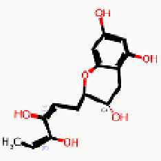 C/C=C(O)\C(O)=C/CC1Oc2cc(O)cc(O)c2C[C@@H]1O